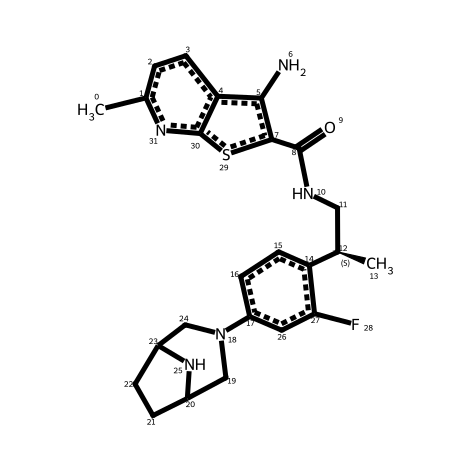 Cc1ccc2c(N)c(C(=O)NC[C@@H](C)c3ccc(N4CC5CCC(C4)N5)cc3F)sc2n1